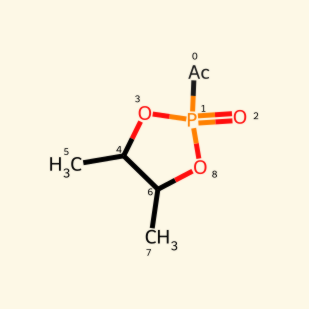 CC(=O)P1(=O)OC(C)C(C)O1